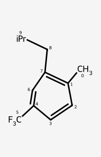 Cc1ccc(C(F)(F)F)cc1CC(C)C